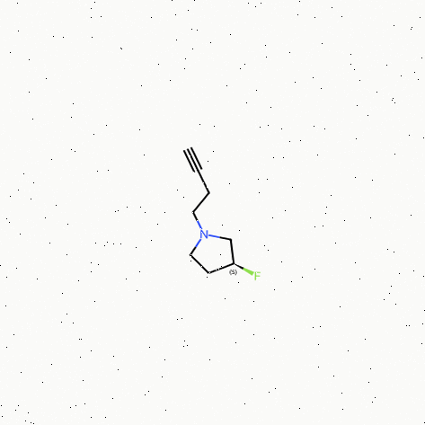 C#CCCN1CC[C@H](F)C1